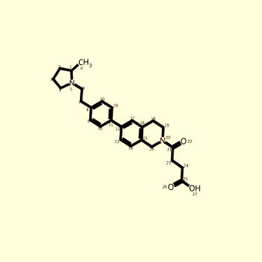 CC1CCCN1CCc1ccc(-c2ccc3c(c2)CCN(C(=O)CCC(=O)O)C3)cc1